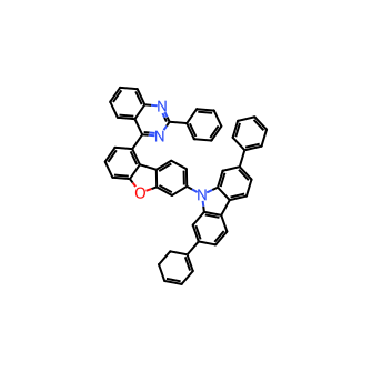 C1=CCCC(c2ccc3c4ccc(-c5ccccc5)cc4n(-c4ccc5c(c4)oc4cccc(-c6nc(-c7ccccc7)nc7ccccc67)c45)c3c2)=C1